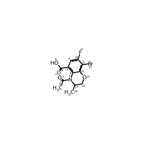 CC(=O)N1c2c(C(=O)O)cc(F)c(Br)c2OCC1C